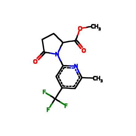 COC(=O)C1CCC(=O)N1c1cc(C(F)(F)F)cc(C)n1